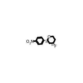 O=[N+]([O-])c1ccc([C@H]2C[C@@H](F)CCO2)cc1